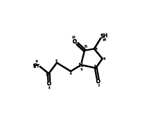 CC(C)C(=O)CCN1C(=O)CC(S)C1=O